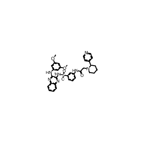 COc1cc(Nc2nc3ccccc3nc2NS(=O)(=O)c2cccc(NC(=O)CN3CCCCC3c3ccncc3)c2)cc(OC)c1